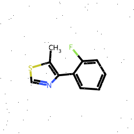 Cc1scnc1-c1ccccc1F